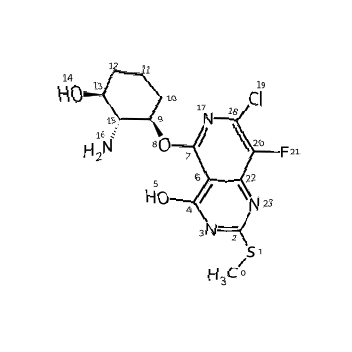 CSc1nc(O)c2c(O[C@@H]3CCC[C@H](O)[C@H]3N)nc(Cl)c(F)c2n1